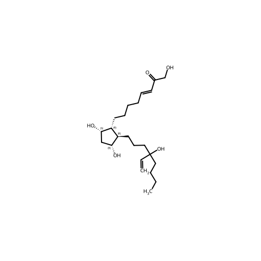 C=CC(O)(CCCC)CCC[C@@H]1[C@@H](CCCCC=CC(=O)CO)[C@@H](O)C[C@H]1O